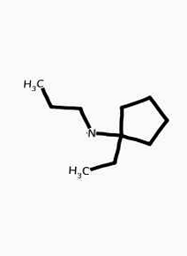 CCC[N]C1(CC)CCCC1